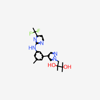 Cc1cc(Nc2nccc(C(C)(F)F)n2)cc(-c2cnn(CC(C)(O)C(C)(C)O)c2)c1